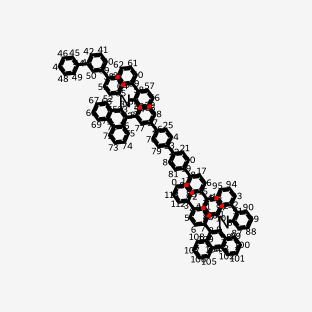 c1ccc(-c2ccc(-c3c(N(c4ccc(-c5ccc(-c6ccc(-c7ccc(-c8cccc(-c9c(N(c%10ccc(-c%11cccc(-c%12ccccc%12)c%11)cc%10)c%10ccccc%10-c%10ccccc%10)c%10ccccc%10c%10ccccc9%10)c8)cc7)cc6)cc5)cc4)c4ccccc4-c4ccccc4)c4ccccc4c4ccccc34)cc2)cc1